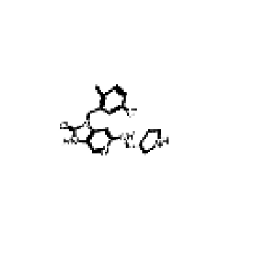 Cc1ccc(Cl)cc1Cn1c(=O)[nH]c2cnc(NC[C@@H]3CCNC3)cc21